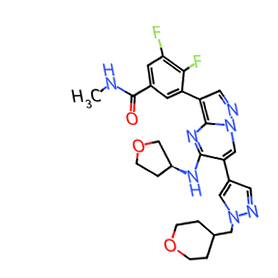 CNC(=O)c1cc(F)c(F)c(-c2cnn3cc(-c4cnn(CC5CCOCC5)c4)c(N[C@H]4CCOC4)nc23)c1